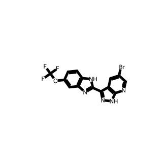 FC(F)(F)Oc1ccc2[nH]c(-c3n[nH]c4ncc(Br)cc34)nc2c1